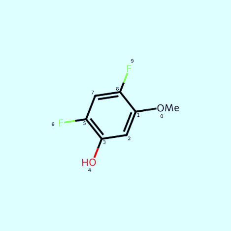 COc1cc(O)c(F)cc1F